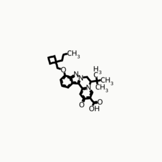 CCCC1(COc2cccc3c4n(nc23)CC(C(C)(C)C)n2cc(C(=O)O)c(=O)cc2-4)CCC1